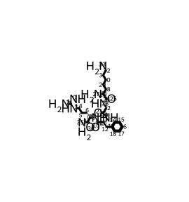 N=C(N)NCCC[C@H](NC(=O)[C@H](Cc1ccccc1)NC(=O)CNC(=O)[C@@H](N)CCCCCN)C(N)=O